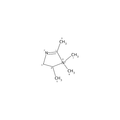 CC1=NCC(C)[N+]1(C)C